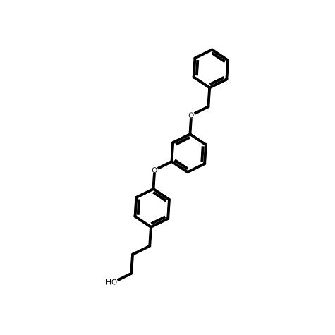 OCCCc1ccc(Oc2cccc(OCc3ccccc3)c2)cc1